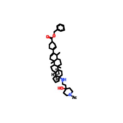 CC(=O)N1CCC(O)(CCNC23CCC[C@@H]2[C@H]2CCC4C5(C)CC=C(C6=CCC(C(=O)OCc7ccccc7)CC6)C(C)C5CCC4(C)[C@]2(C)CC3)CC1